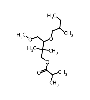 CCC(C)COC(COC)C(C)(C)COC(=O)C(C)C